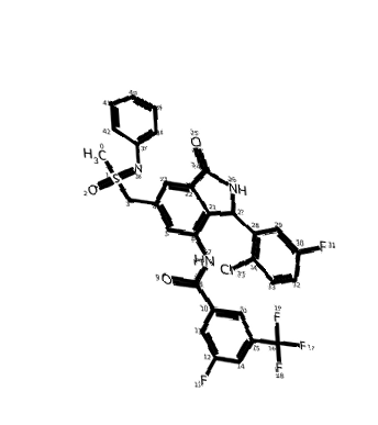 CS(=O)(Cc1cc(NC(=O)c2cc(F)cc(C(F)(F)F)c2)c2c(c1)C(=O)NC2c1cc(F)ccc1Cl)=Nc1ccccc1